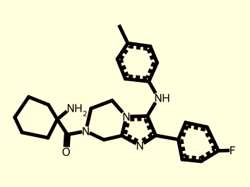 Cc1ccc(Nc2c(-c3ccc(F)cc3)nc3n2CCN(C(=O)C2(N)CCCCC2)C3)cc1